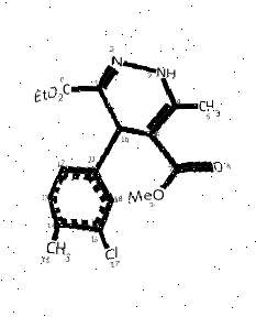 CCOC(=O)C1=NNC(C)=C(C(=O)OC)C1c1ccc(C)c(Cl)c1